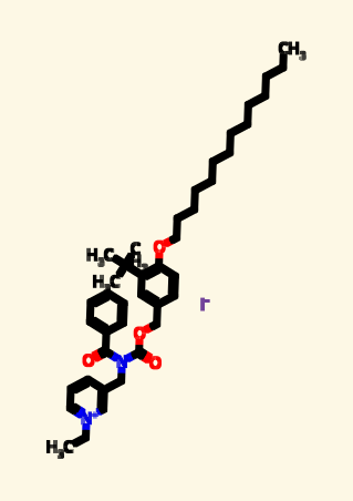 CCCCCCCCCCCCCCOc1ccc(COC(=O)N(Cc2ccc[n+](CC)c2)C(=O)c2ccccc2)cc1C(C)(C)C.[I-]